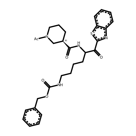 CC(=O)N1CCC[C@@H](C(=O)NC(CCCCNC(=O)OCc2ccccc2)C(=O)c2nc3ccccc3s2)C1